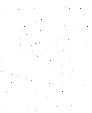 CN1CC2[C@H](CNC(=O)C3c4ccccc4Oc4ccccc43)[C@H]2C1